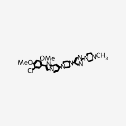 COc1cc(OC)c(-c2cn3ccc(N4CCN(c5cnc(N6CCN(C)CC6)nc5)CC4)cc3n2)cc1Cl